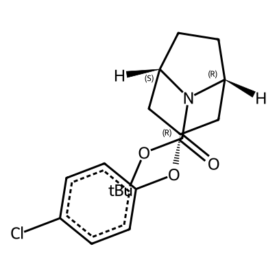 CC(C)(C)OC(=O)N1[C@@H]2CC[C@H]1C[C@@H](Oc1ccc(Cl)cc1)C2